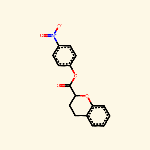 O=C(Oc1ccc([N+](=O)[O-])cc1)C1CCc2ccccc2O1